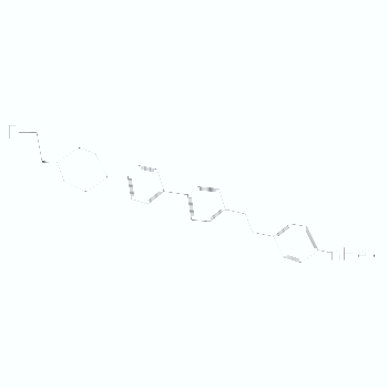 CCCCCCc1ccc(CCc2ccc(-c3ccc([C@H]4CC[C@H](CCF)CC4)cc3)cc2)cc1